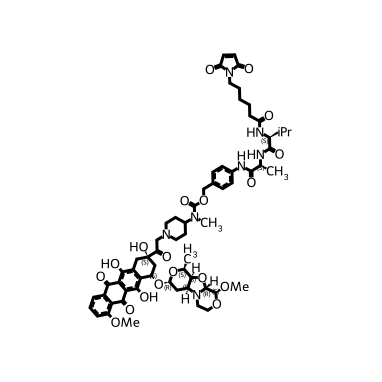 COc1cccc2c1C(=O)c1c(O)c3c(c(O)c1C2=O)C[C@@](O)(C(=O)CN1CCC(N(C)C(=O)OCc2ccc(NC(=O)[C@H](C)NC(=O)[C@@H](NC(=O)CCCCCN4C(=O)C=CC4=O)C(C)C)cc2)CC1)C[C@@H]3O[C@H]1C[C@H]2[C@H](O[C@@H]3[C@@H](OC)OCCN32)[C@H](C)O1